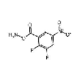 NOC(=O)c1cc([N+](=O)[O-])cc(F)c1F